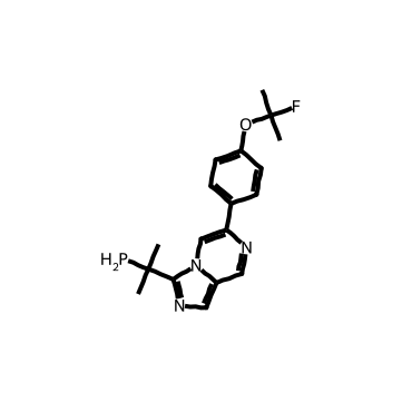 CC(C)(F)Oc1ccc(-c2cn3c(C(C)(C)P)ncc3cn2)cc1